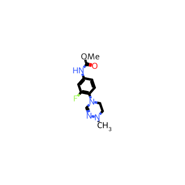 COC(=O)Nc1ccc(N2C=NN(C)CC2)c(F)c1